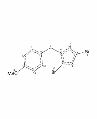 COc1ccc(Cn2nc(Br)cc2Br)cc1